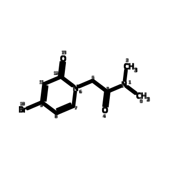 CN(C)C(=O)Cn1ccc(Br)cc1=O